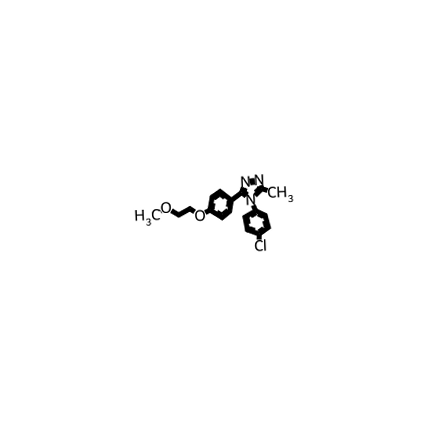 COCCOc1ccc(-c2nnc(C)n2-c2ccc(Cl)cc2)cc1